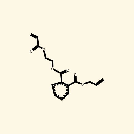 C=CCOC(=O)c1ccccc1C(=O)OCCOC(=O)C=C